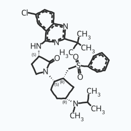 CC(C)N(C)[C@@H]1CC[C@H](N2CC[C@H](Nc3nc(C(C)(C)C)nc4ccc(Cl)cc34)C2=O)[C@H](CS(=O)(=O)c2ccccc2)C1